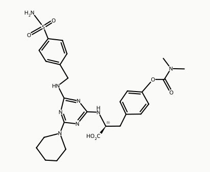 CN(C)C(=O)Oc1ccc(C[C@H](Nc2nc(NCc3ccc(S(N)(=O)=O)cc3)nc(N3CCCCC3)n2)C(=O)O)cc1